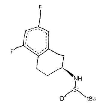 CC(C)(C)[S+]([O-])N[C@H]1CCc2c(F)cc(F)cc2C1